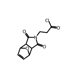 O=C(Cl)CCN1C(=O)C2C3C=CC(O3)C2C1=O